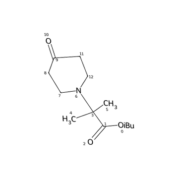 CC(C)COC(=O)C(C)(C)N1CCC(=O)CC1